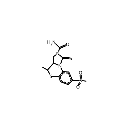 CC1Sc2ccc(S(C)(=O)=O)cc2N2C(=S)N(C(N)=O)CC12